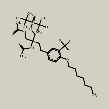 CCCCCCCOc1ccc(CC[C@@](COC(C)=O)(COP(=O)(C(C)(C)C)C(C)(C)C)NC(C)=O)cc1C(F)(F)F